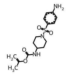 C=C(C)OC(=O)NC1CCN(S(=O)(=O)c2ccc(N)cc2)CC1